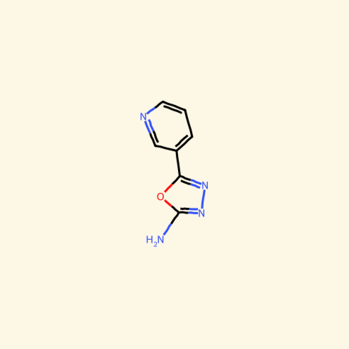 Nc1nnc(-c2cccnc2)o1